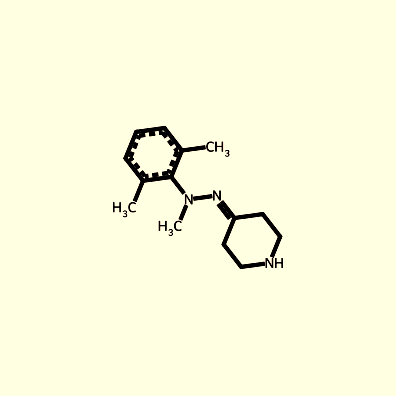 Cc1cccc(C)c1N(C)N=C1CCNCC1